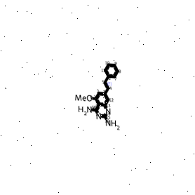 COc1cc(/C=C/c2ccccc2)cc2nc(N)nc(N)c12